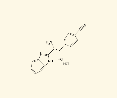 Cl.Cl.N#Cc1ccc(C[C@@H](N)c2nc3ccccc3[nH]2)cc1